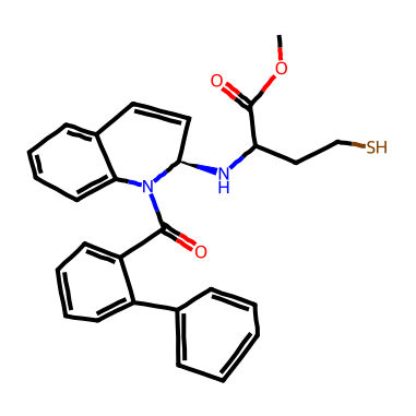 COC(=O)C(CCS)N[C@@H]1C=Cc2ccccc2N1C(=O)c1ccccc1-c1ccccc1